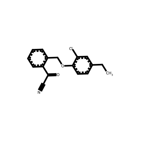 CCc1ccc(OCc2ccccc2C(=O)C#N)c(Cl)c1